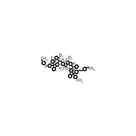 C=Cc1ccc(CCc2ccc(C3(c4ccc(C)cc4)c4ccccc4-c4ccc(C(c5ccc6c(c5)C5(CC(C)(C)c7ccc(/C=C(\c8ccc9c(c8)C(c8ccc(F)cc8)(c8ccc(Oc%10ccc(C=C)cc%10)cc8)c8ccccc8-9)c8c(C)cccc8F)cc75)CC6(C)C)c5c(F)cccc5F)cc43)cc2)cc1